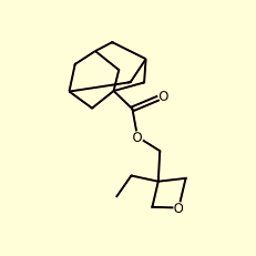 CCC1(COC(=O)C23CC4CC(CC(C4)C2)C3)COC1